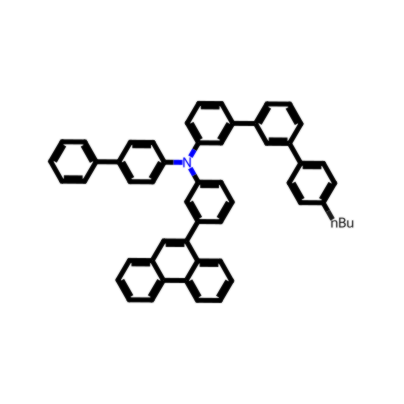 CCCCc1ccc(-c2cccc(-c3cccc(N(c4ccc(-c5ccccc5)cc4)c4cccc(-c5cc6ccccc6c6ccccc56)c4)c3)c2)cc1